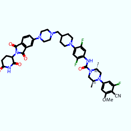 COc1cc(N2C[C@@H](C)N(C(=O)Nc3cc(F)c(N4CCC(CN5CCN(c6ccc7c(c6)C(=O)N(C6CCC(=O)NC6=O)C7=O)CC5)CC4)cc3F)C[C@@H]2C)cc(F)c1C#N